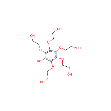 OCCOc1c(O)c(OCCO)c(OCCO)c(OCCO)c1OCCO